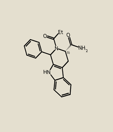 CCC(=O)N1C(c2ccccc2)c2[nH]c3ccccc3c2C[C@H]1C(N)=O